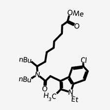 CCCCC(CCCCCCC(=O)OC)N(CCCC)C(=O)Cc1c(C)n(CC)c2ccc(Cl)cc12